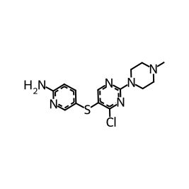 CN1CCN(c2ncc(Sc3ccc(N)nc3)c(Cl)n2)CC1